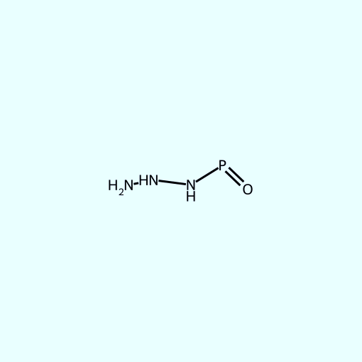 NNNP=O